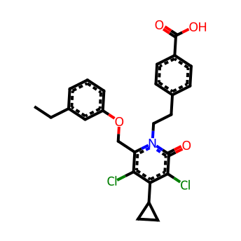 CCc1cccc(OCc2c(Cl)c(C3CC3)c(Cl)c(=O)n2CCc2ccc(C(=O)O)cc2)c1